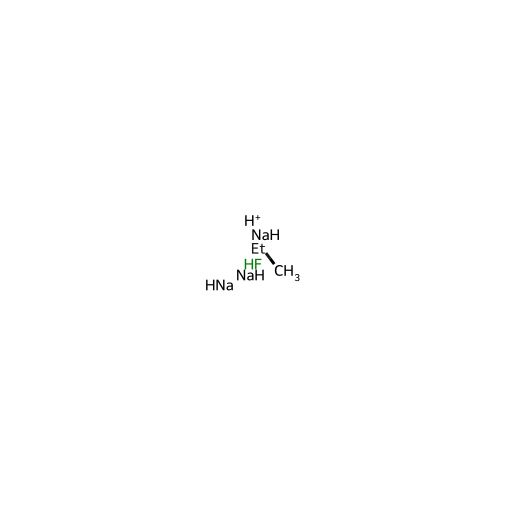 CCC.F.[H+].[NaH].[NaH].[NaH]